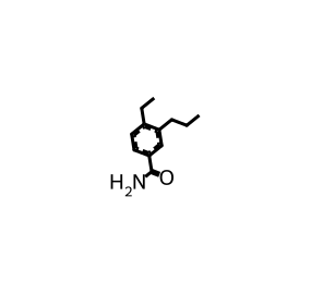 CCCc1cc(C(N)=O)ccc1CC